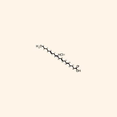 CCCCCC=CCC=CCC=CCC=CCCCC(=O)O.Cl